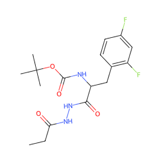 CCC(=O)NNC(=O)C(Cc1ccc(F)cc1F)NC(=O)OC(C)(C)C